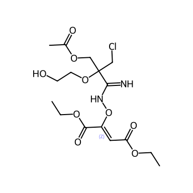 CCOC(=O)/C=C(\ONC(=N)C(CCl)(COC(C)=O)OCCO)C(=O)OCC